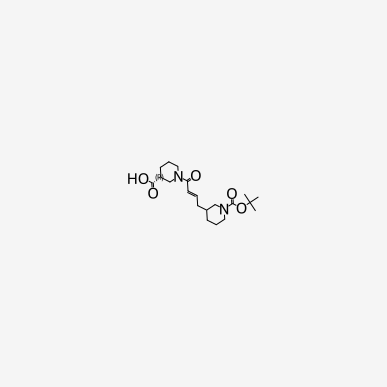 CC(C)(C)OC(=O)N1CCCC(CC=CC(=O)N2CCC[C@@H](C(=O)O)C2)C1